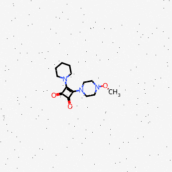 CON1CCN(c2c(N3CCCCC3)c(=O)c2=O)CC1